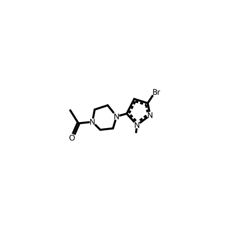 CC(=O)N1CCN(c2cc(Br)nn2C)CC1